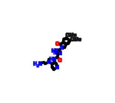 COc1cc2c(cc1OC)C(=O)N(c1nc(C(=O)Nc3cnccc3N(C)CCN)n[nH]1)C2